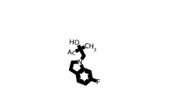 CC(=O)C(C)(O)CN1CCc2ccc(F)cc21